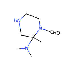 CN(C)C1(C)CNCCN1C=O